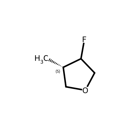 C[C@H]1COCC1F